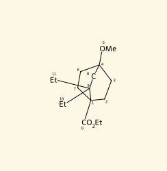 CCOC(=O)C12CCC(OC)(CC1)CC2(CC)CC